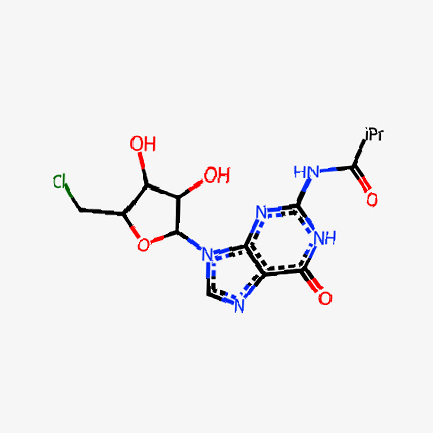 CC(C)C(=O)Nc1nc2c(ncn2C2OC(CCl)C(O)C2O)c(=O)[nH]1